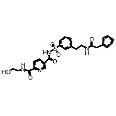 O=C(Cc1ccccc1)NCCc1cccc(S(=O)(=O)NC(=O)c2ccc(C(=O)NCCO)nc2)c1